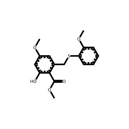 COC(=O)c1c(O)cc(OC)cc1CSc1ccccc1OC